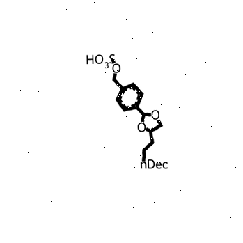 CCCCCCCCCCCCC1COC(c2ccc(COS(=O)(=O)O)cc2)O1